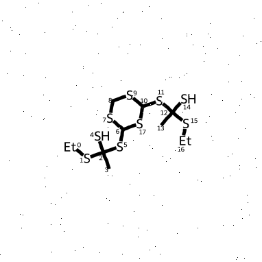 CCSC(C)(S)SC1SCSC(SC(C)(S)SCC)S1